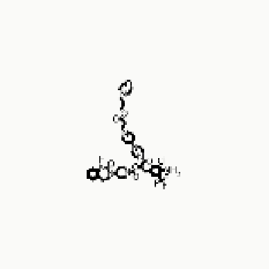 Nc1c(Cl)cc(C[C@@H](OC(=O)N2CCC(N3CCc4ccccc4NC3=O)CC2)C(=O)N2CCN(C3CCN(CCC(=O)OCCCN4CCOCC4)CC3)CC2)cc1C(F)(F)F